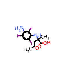 CC(=O)CC(C)(Nc1c(I)cc(I)c(N)c1I)C(=O)O